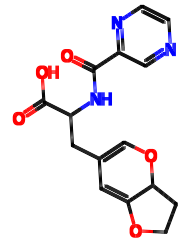 O=C(NC(CC1=COC2CCOC2=C1)C(=O)O)c1cnccn1